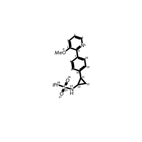 COc1cccnc1-c1ccc(C2CC2NS(=O)(=O)C(C)C)cc1